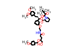 CCC(C)(C)C(=O)C(=O)N1CCCC[C@H]1C(=O)O[C@H](CCc1ccc(OC)c(OC)c1)c1cccc(OCCNC(=O)CCC(CO)OCc2ccc(OC)cc2)c1